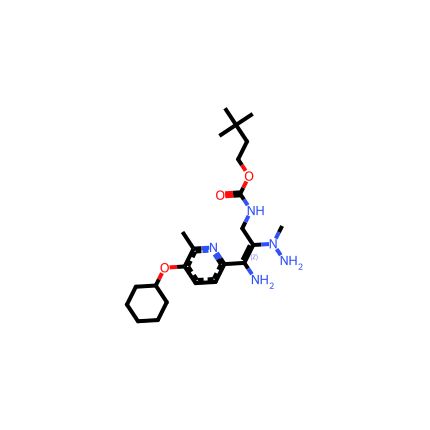 Cc1nc(/C(N)=C(\CNC(=O)OCCC(C)(C)C)N(C)N)ccc1OC1CCCCC1